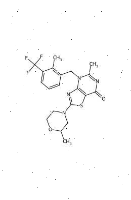 Cc1c(Cn2c(C)nc(=O)c3sc(N4CCOC(C)C4)nc32)cccc1C(F)(F)F